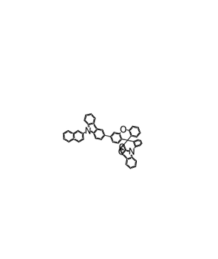 c1ccc2c(c1)Oc1cc(-c3ccc4c(c3)c3ccccc3n4-c3ccc4ccccc4c3)ccc1C21c2ccccc2-n2c3ccccc3c3cccc1c32